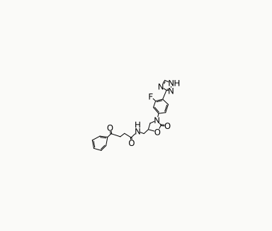 O=C(CCC(=O)c1ccccc1)NCC1CN(c2ccc(-c3nc[nH]n3)c(F)c2)C(=O)O1